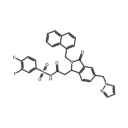 O=C(CC1c2ccc(Cn3cccn3)cc2C(=O)N1Cc1cccc2ccccc12)NS(=O)(=O)c1ccc(F)c(F)c1